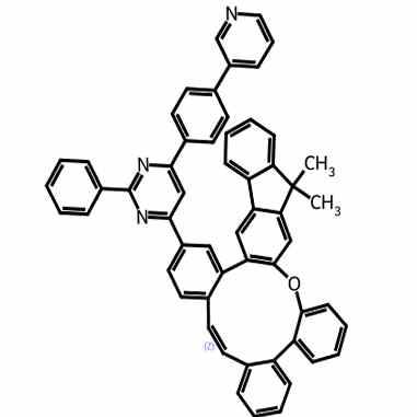 CC1(C)c2ccccc2-c2cc3c(cc21)Oc1ccccc1-c1ccccc1/C=C\c1ccc(-c2cc(-c4ccc(-c5cccnc5)cc4)nc(-c4ccccc4)n2)cc1-3